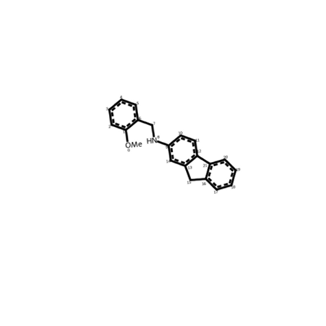 COc1ccccc1CNc1ccc2c(c1)Cc1ccccc1-2